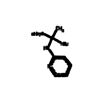 CCCCCCCC(C)(CCCC)Nc1ccccn1